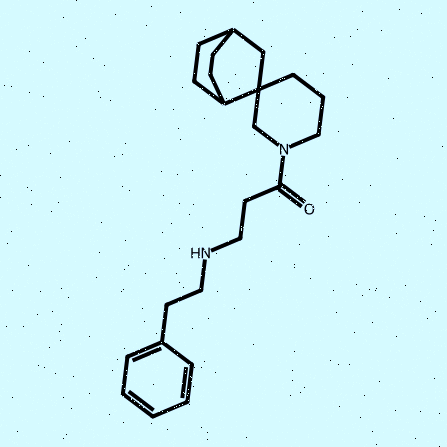 O=C(CCNCCc1ccccc1)N1CCCC2(CC3CCC2CC3)C1